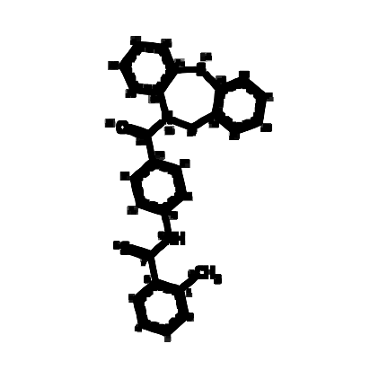 Cc1ccccc1C(=S)Nc1ccc(C(=O)N2Cc3ccccc3Sc3ccccc32)cc1